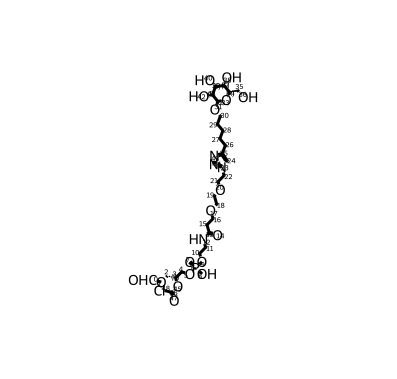 O=COC[C@H](COP(=O)(O)OCCNC(=O)CCOCCOCCn1cc(CCCCCOC2O[C@H](CO)[C@@H](O)[C@H](O)[C@@H]2O)nn1)OC(=O)Cl